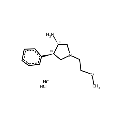 COCCN1C[C@@H](N)[C@H](c2ccccc2)C1.Cl.Cl